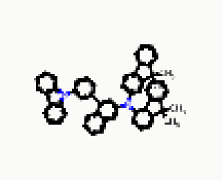 CC1(C)c2ccccc2-c2ccc(N(c3cc(-c4cccc(-n5c6ccccc6c6ccccc65)c4)c4ccccc4c3)c3cccc4c3-c3ccccc3C4(C)C)cc21